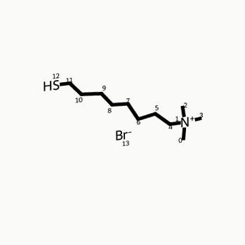 C[N+](C)(C)CCCCCCCCS.[Br-]